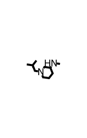 CNC1CCCN(C[C](C)C)C1